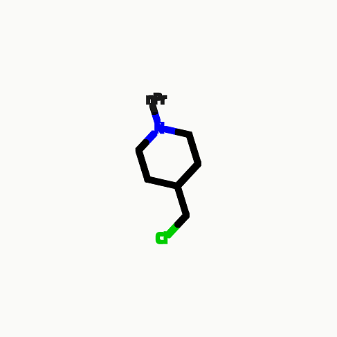 CCCN1CCC(CCl)CC1